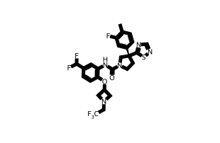 Cc1ccc([C@@]2(c3ncns3)CCN(C(=O)Nc3cc(C(F)F)ccc3OC3CN(CC(F)(F)F)C3)C2)cc1F